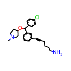 CN1CCC(OC(c2ccc(Cl)cc2)c2cccc(C#CCCCCN)c2)CC1